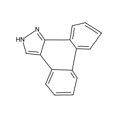 c1ccc2c(c1)c1ccccc1c1n[nH]cc21